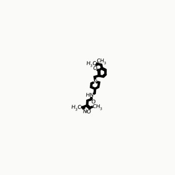 Cc1noc(C)c1CC(=O)NCC1CCN(Cc2cccc3c2OC(C)(C)C3)CC1